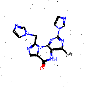 CCCc1nc(-n2ccnc2)nc2c1[nH]c(=O)c1cnc(Cn3ccnc3)n12